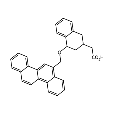 O=C(O)CC1Cc2ccccc2C(OCc2cc3c4ccccc4ccc3c3ccccc23)C1